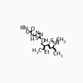 C/C=C(\C=C\C(COc1nnc(NC(=O)OC(C)(C)C)s1)=C(\C)CC)S(/C)=N/C